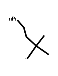 [CH2]C(C)(C)CCCCC